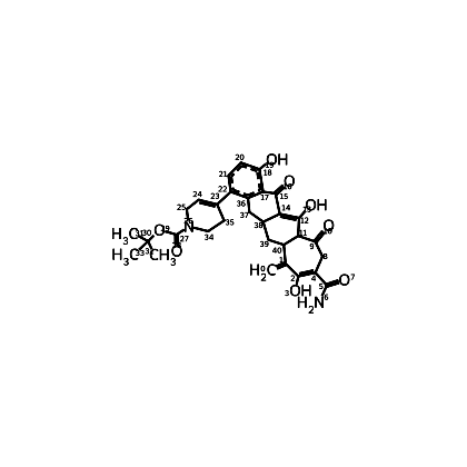 C=C1C(O)=C(C(N)=O)CC(=O)C2C(O)=C3C(=O)c4c(O)ccc(C5=CCN(C(=O)OC(C)(C)C)CC5)c4CC3CC12